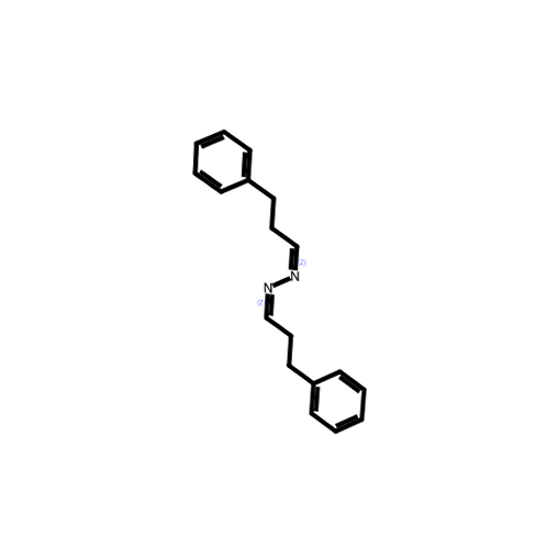 C(/CCc1ccccc1)=N/N=C\CCc1ccccc1